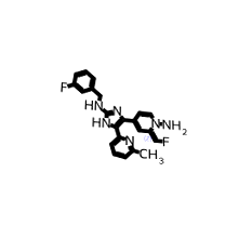 Cc1cccc(-c2[nH]c(NCc3cccc(F)c3)nc2C2=C/C(=C/F)N(N)C=C2)n1